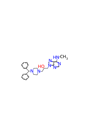 CNc1ncnc2c1ncn2CC(O)CN1CCN(C(c2ccccc2)c2ccccc2)CC1